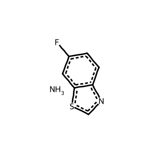 Fc1ccc2ncsc2c1.N